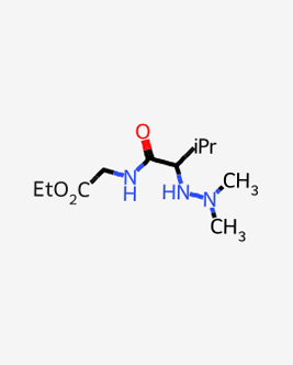 CCOC(=O)CNC(=O)C(NN(C)C)C(C)C